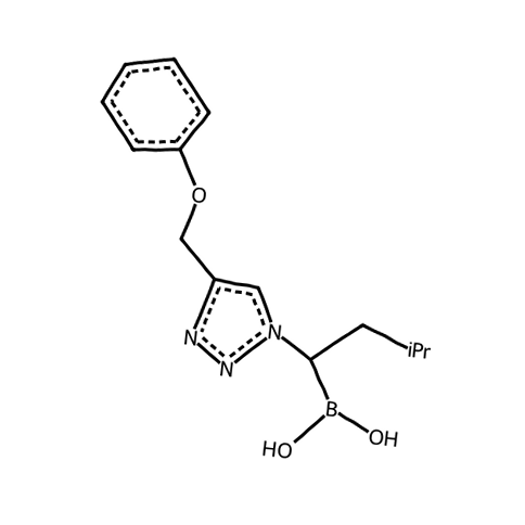 CC(C)CC(B(O)O)n1cc(COc2ccccc2)nn1